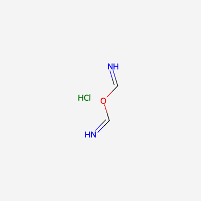 Cl.N=COC=N